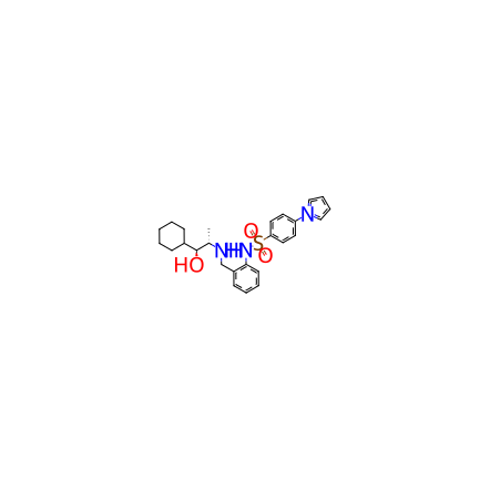 C[C@H](NCc1ccccc1NS(=O)(=O)c1ccc(-n2cccc2)cc1)[C@@H](O)C1CCCCC1